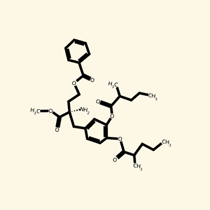 CCCC(C)C(=O)Oc1ccc(C[C@](N)(CCOC(=O)c2ccccc2)C(=O)OC)cc1OC(=O)C(C)CCC